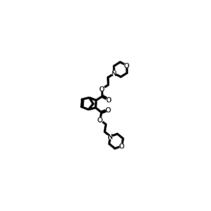 O=C(OCCN1CCOCC1)C1C2C=CC(C2)C1C(=O)OCCN1CCOCC1